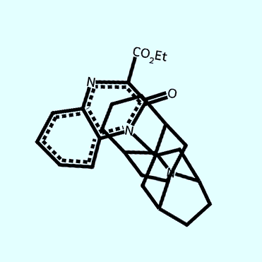 CCOC(=O)c1nc2ccccc2n(C2CC3CCC(C2)N3C2C3CCCC2CCC3)c1=O